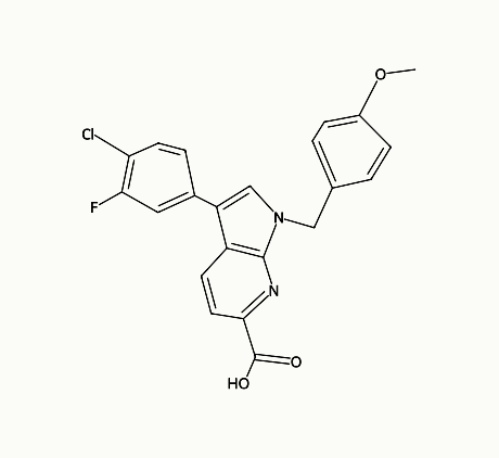 COc1ccc(Cn2cc(-c3ccc(Cl)c(F)c3)c3ccc(C(=O)O)nc32)cc1